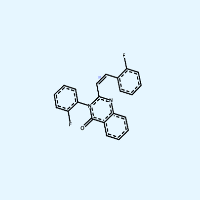 O=c1c2ccccc2nc(/C=C\c2ccccc2F)n1-c1ccccc1F